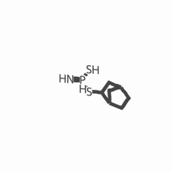 N=[PH](S)SC1CC2CCC1C2